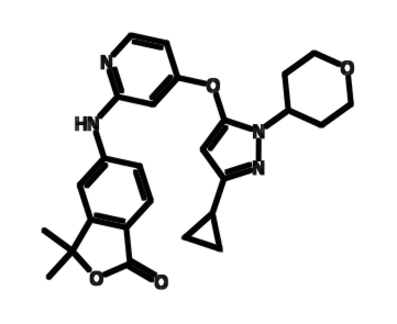 CC1(C)OC(=O)c2ccc(Nc3cc(Oc4cc(C5CC5)nn4C4CCOCC4)ccn3)cc21